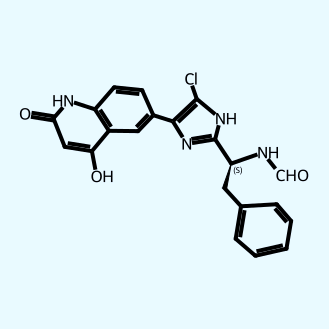 O=CN[C@@H](Cc1ccccc1)c1nc(-c2ccc3[nH]c(=O)cc(O)c3c2)c(Cl)[nH]1